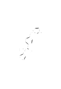 O=C(Nc1ccsc1)c1ccc(Cn2ccnc2)cc1